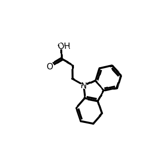 O=C(O)CCn1c2c(c3ccccc31)CCC=C2